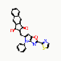 O=C1C(=Cc2cc3oc(-c4nccs4)nc3n2-c2ccccc2)C(=O)c2cc3ccccc3cc21